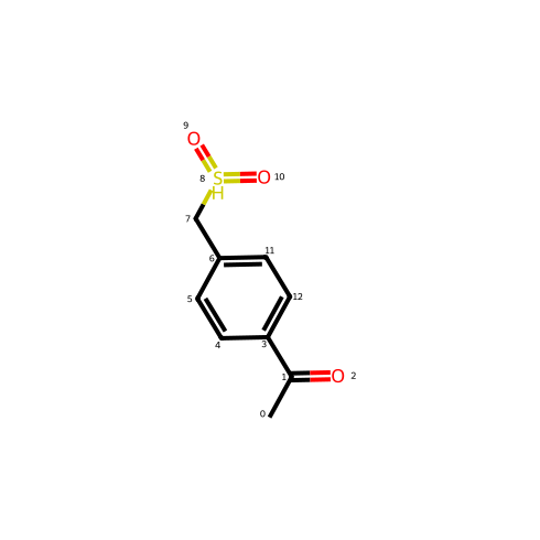 CC(=O)c1ccc(C[SH](=O)=O)cc1